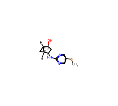 CSc1cnc(N[C@@H]2C[C@H](O)[C@H]3C[C@H]32)nc1